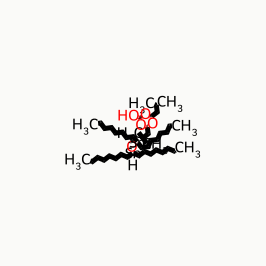 CCCCCCC[CH2][SnH]([CH2]CCCCCCC)[O][Sn]([CH2]CCCCCCC)([CH2]CCCCCCC)[C](C)(C)CC(OCCC(C)C)OC(=O)O